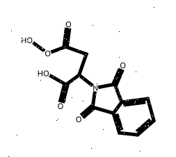 O=C(CC(C(=O)O)N1C(=O)c2ccccc2C1=O)OO